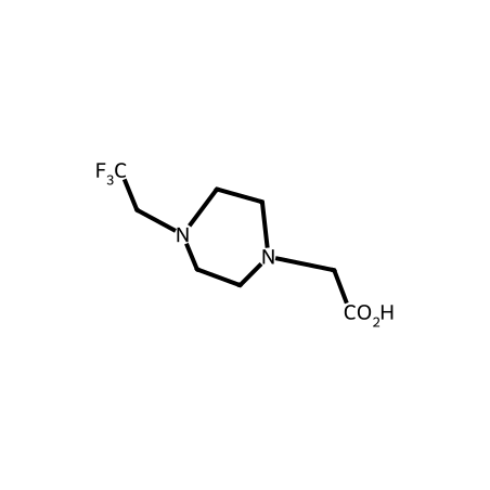 O=C(O)CN1CCN(CC(F)(F)F)CC1